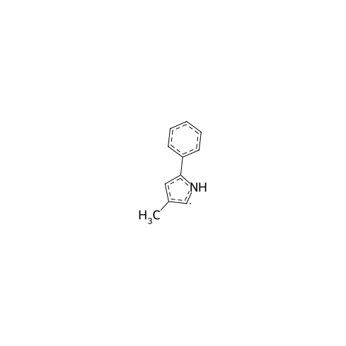 Cc1[c][nH]c(-c2ccccc2)c1